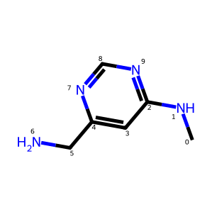 CNc1cc(CN)ncn1